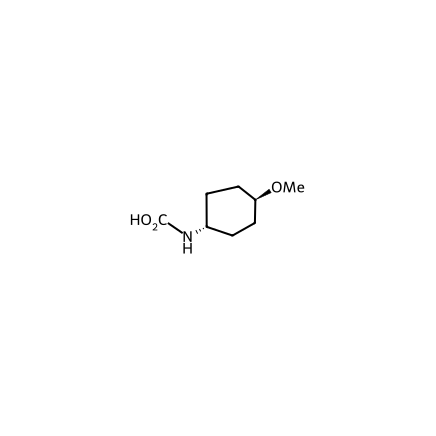 CO[C@H]1CC[C@H](NC(=O)O)CC1